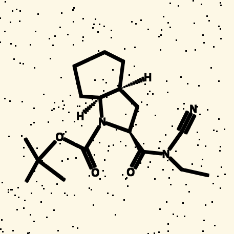 CCN(C#N)C(=O)[C@@H]1C[C@@H]2CCCC[C@@H]2N1C(=O)OC(C)(C)C